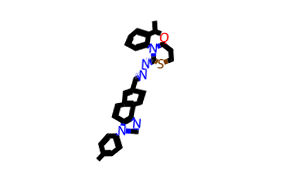 Cc1ccc(-n2cnc3c4ccc(/C=N/N=C5\SCCC(=O)N5c5ccccc5C(C)C)cc4ccc32)cc1